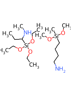 CCO[Si](OCC)(OCC)C(CC)NC.CO[Si](C)(CCCCN)OC